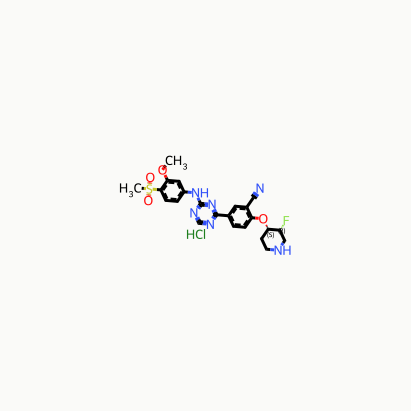 COc1cc(Nc2ncnc(-c3ccc(O[C@H]4CCNC[C@H]4F)c(C#N)c3)n2)ccc1S(C)(=O)=O.Cl